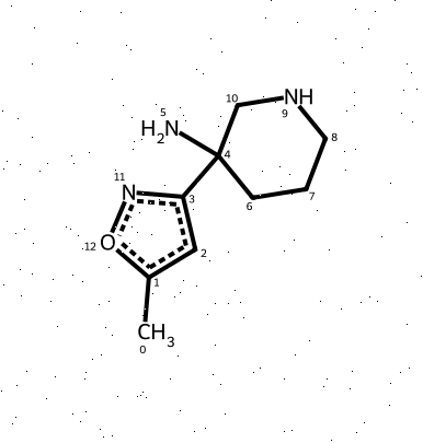 Cc1cc(C2(N)CCCNC2)no1